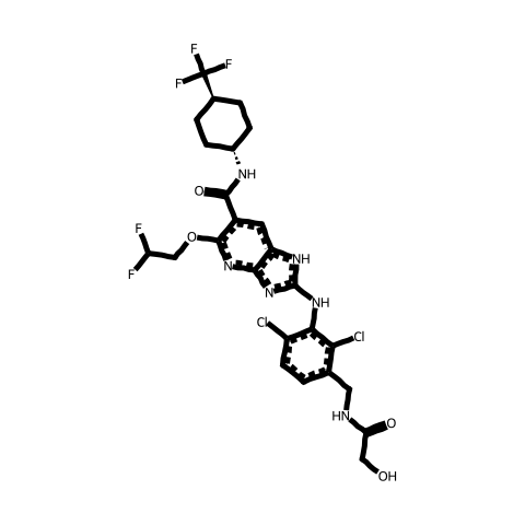 O=C(CO)NCc1ccc(Cl)c(Nc2nc3nc(OCC(F)F)c(C(=O)N[C@H]4CC[C@H](C(F)(F)F)CC4)cc3[nH]2)c1Cl